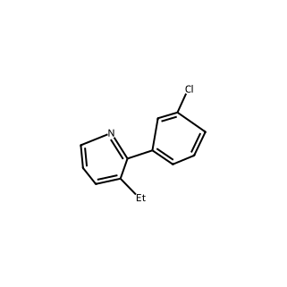 CCc1cccnc1-c1cccc(Cl)c1